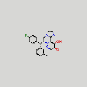 Cc1cccc([C@H](c2ccc(F)cc2)[C@H]2Cn3ccnc3-c3c(O)c(=O)cnn32)c1